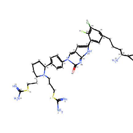 N=C(N)SCCCN1[C@H](CCSC(=N)N)CCC[C@H]1c1ccc(-n2cc3cc(-c4cc(CCC[C@@H](N)C5CC5)cc(Cl)c4F)[nH]c3nc2=O)cc1